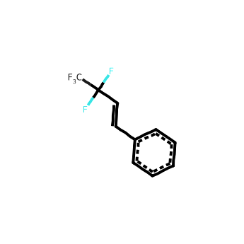 FC(F)(F)C(F)(F)/C=C/c1ccccc1